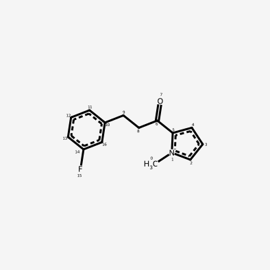 Cn1cccc1C(=O)CCc1cccc(F)c1